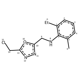 CCc1cccc(C)c1NCc1nnc(CCl)o1